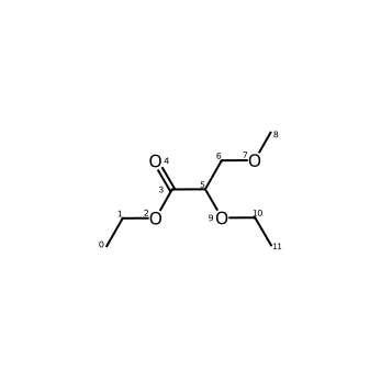 CCOC(=O)C(COC)OCC